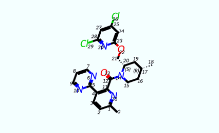 Cc1ccc(-c2ncccn2)c(C(=O)N2CC[C@@H](C)C[C@H]2COc2cc(Cl)cc(Cl)n2)n1